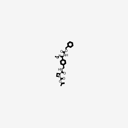 C=C(C)OC(=O)N1CC[C@H]1C(=O)NCc1ccc(/C(=N\OC)NC(=O)OCc2ccccc2)cc1